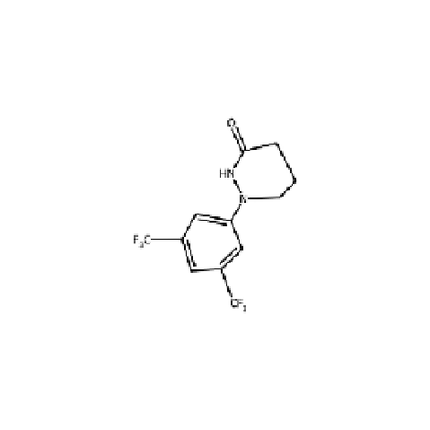 O=C1CCCN(c2cc(C(F)(F)F)cc(C(F)(F)F)c2)N1